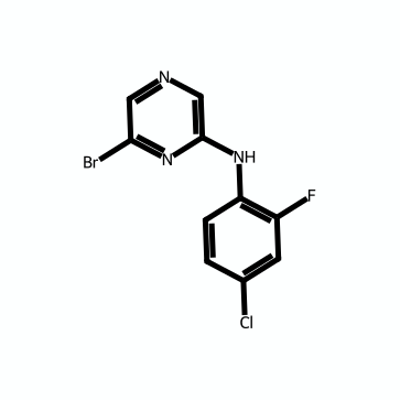 Fc1cc(Cl)ccc1Nc1cncc(Br)n1